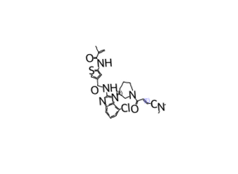 C=C(C)C(=O)Nc1cc(C(=O)Nc2nc3cccc(Cl)c3n2[C@@H]2CCCCN(C(=O)/C=C/CN(C)C)C2)cs1